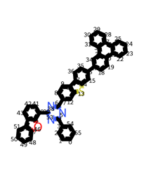 c1ccc(-c2nc(-c3ccc4c(c3)sc3cc(-c5ccc6c7ccccc7c7ccccc7c6c5)ccc34)nc(-c3cccc4c3oc3ccccc34)n2)cc1